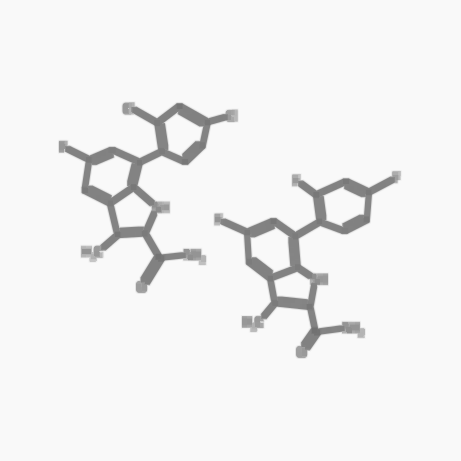 Cc1c(C(N)=O)[nH]c2c(-c3ccc(Cl)cc3Cl)cc(F)cc12.Cc1c(C(N)=O)[nH]c2c(-c3ccc(F)cc3F)cc(F)cc12